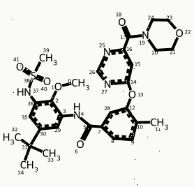 COc1c(NC(=O)c2ccc(C)c(Oc3cc(C(=O)N4CCOCC4)ncn3)c2)cc(C(C)(C)C)cc1NS(C)(=O)=O